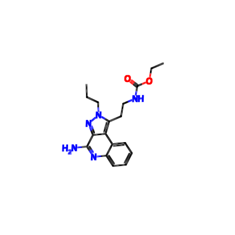 CCCn1nc2c(N)nc3ccccc3c2c1CCNC(=O)OCC